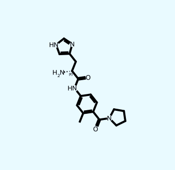 Cc1cc(NC(=O)[C@H](N)Cc2c[nH]cn2)ccc1C(=O)N1CCCC1